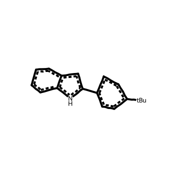 CC(C)(C)c1ccc(-c2cc3ccccc3[nH]2)cc1